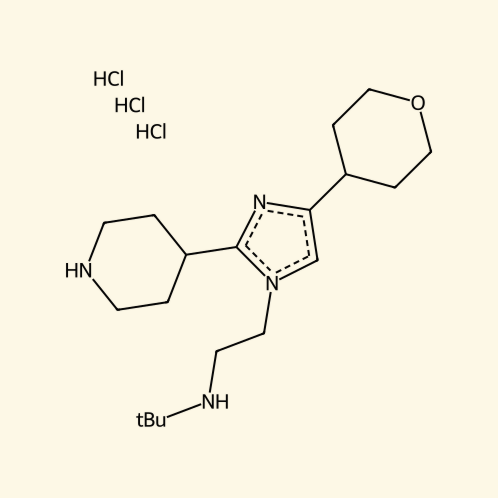 CC(C)(C)NCCn1cc(C2CCOCC2)nc1C1CCNCC1.Cl.Cl.Cl